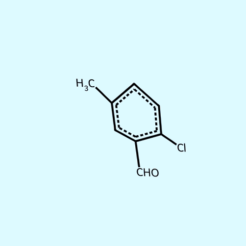 Cc1ccc(Cl)c(C=O)c1